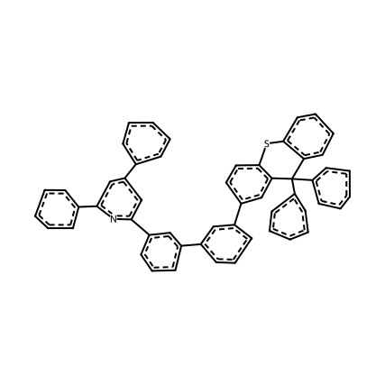 c1ccc(-c2cc(-c3ccccc3)nc(-c3cccc(-c4cccc(-c5ccc6c(c5)C(c5ccccc5)(c5ccccc5)c5ccccc5S6)c4)c3)c2)cc1